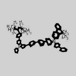 CC(C)(C)CC(c1ccc(-c2ccc3c(c2)c2cc(-c4ccc(-c5ccc(-c6ccc(N(c7ccc(-c8ccccc8)cc7)c7ccc8c(c7)C(C)(C)c7ccccc7-8)cc6)cc5)cc4)ccc2n3-c2ccccc2)cc1)C(C)(C)C